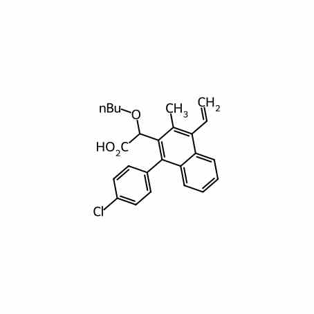 C=Cc1c(C)c(C(OCCCC)C(=O)O)c(-c2ccc(Cl)cc2)c2ccccc12